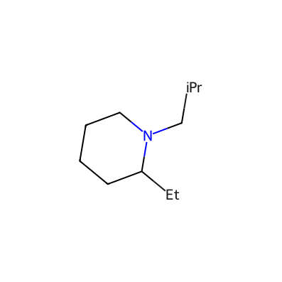 CCC1CCCCN1CC(C)C